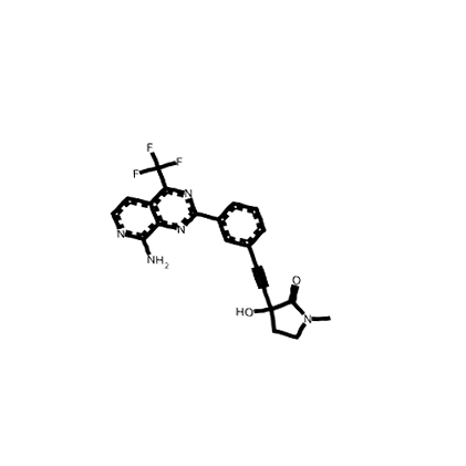 CN1CCC(O)(C#Cc2cccc(-c3nc(C(F)(F)F)c4ccnc(N)c4n3)c2)C1=O